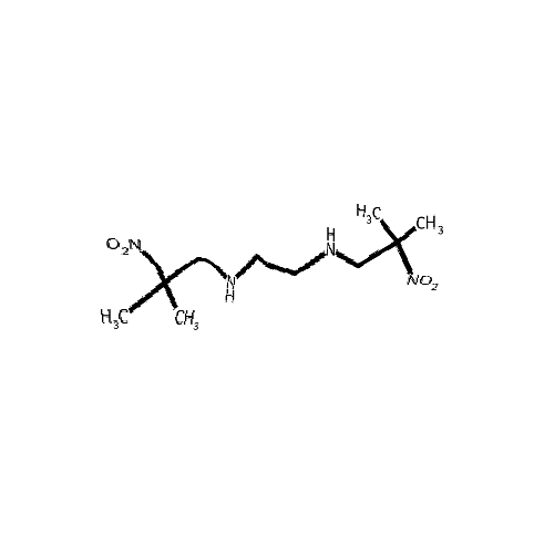 CC(C)(CNCCNCC(C)(C)[N+](=O)[O-])[N+](=O)[O-]